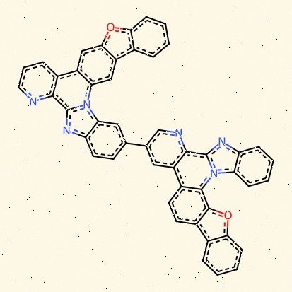 c1ccc2c(c1)nc1c3ncc(-c4ccc5nc6c7ncccc7c7cc8oc9ccccc9c8cc7n6c5c4)cc3c3ccc4c5ccccc5oc4c3n21